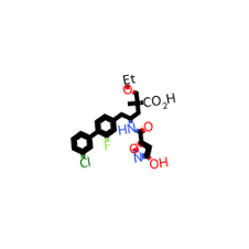 CCOCC(C)(CC(Cc1ccc(-c2cccc(Cl)c2)c(F)c1)NC(=O)c1cc(O)no1)C(=O)O